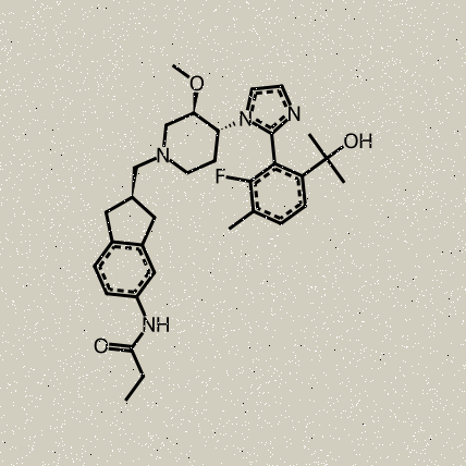 CCC(=O)Nc1ccc2c(c1)C[C@H](CN1CC[C@@H](n3ccnc3-c3c(C(C)(C)O)ccc(C)c3F)[C@H](OC)C1)C2